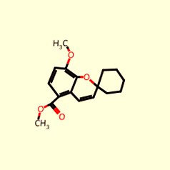 COC(=O)c1ccc(OC)c2c1C=CC1(CCCCC1)O2